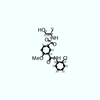 COc1ccc(S(=O)(=O)N[C@H](C)CO)cc1C(=O)Nc1ccccc1Cl